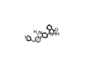 Nc1cc(-c2n[nH]c(=O)c3ccccc23)ccc1N1CCN(Cc2ccncc2)CC1